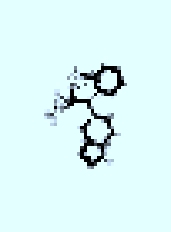 COC(=O)[C@H](c1ccccc1Cl)N1CCc2sccc2C1.O=[N+]([O-])O